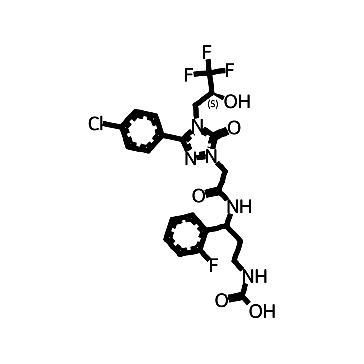 O=C(O)NCCC(NC(=O)Cn1nc(-c2ccc(Cl)cc2)n(C[C@H](O)C(F)(F)F)c1=O)c1ccccc1F